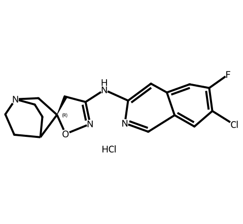 Cl.Fc1cc2cc(NC3=NO[C@@]4(C3)CN3CCC4CC3)ncc2cc1Cl